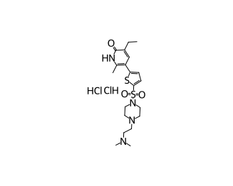 CCc1cc(-c2ccc(S(=O)(=O)N3CCN(CCN(C)C)CC3)s2)c(C)[nH]c1=O.Cl.Cl